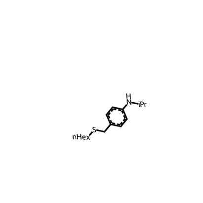 CCCCCCSCc1ccc(NC(C)C)cc1